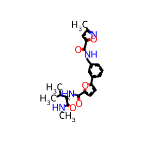 CNC(=O)[C@@H](NC(=O)c1ccc(-c2cccc(CNC(=O)c3cc(C)no3)c2)o1)C(C)C